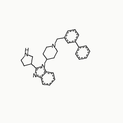 c1ccc(-c2cccc(CN3CCC(n4c(C5CCNC5)nc5ccccc54)CC3)c2)cc1